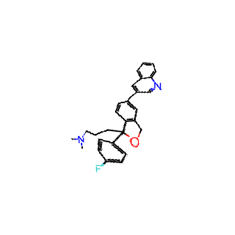 CN(C)CCCC1(c2ccc(F)cc2)OCc2cc(-c3cnc4ccccc4c3)ccc21